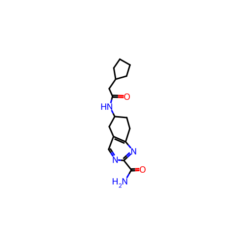 NC(=O)c1ncc2c(n1)CCC(NC(=O)CC1CCCC1)C2